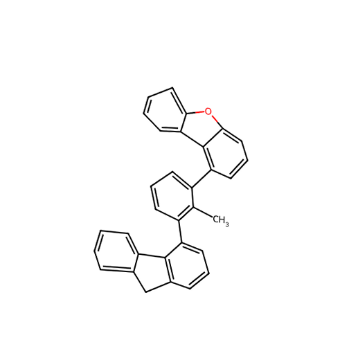 Cc1c(-c2cccc3c2-c2ccccc2C3)cccc1-c1cccc2oc3ccccc3c12